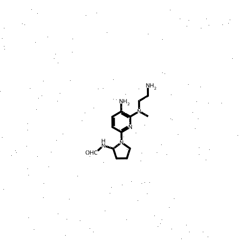 CN(CCN)c1nc(N2CCCC2NC=O)ccc1N